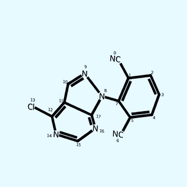 N#Cc1cccc(C#N)c1-n1ncc2c(Cl)ncnc21